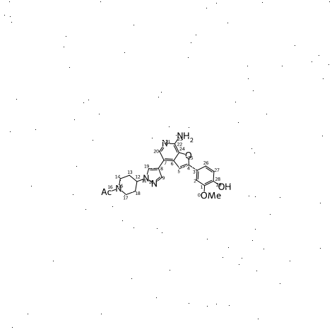 COc1cc(-c2cc3c(-c4cnn(C5CCN(C(C)=O)CC5)c4)cnc(N)c3o2)ccc1O